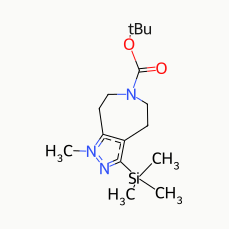 Cn1nc([Si](C)(C)C)c2c1CCN(C(=O)OC(C)(C)C)CC2